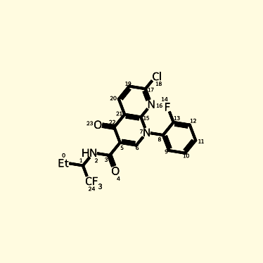 CCC(NC(=O)c1cn(-c2ccccc2F)c2nc(Cl)ccc2c1=O)C(F)(F)F